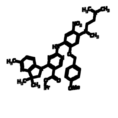 COc1ccc(COc2cc(N(C)CCN(C)C)c([N+](=O)[O-])cc2Nc2ncc(C(=O)OC(C)C)c(N3CC(C)(C)c4nc(C)ccc43)n2)cc1